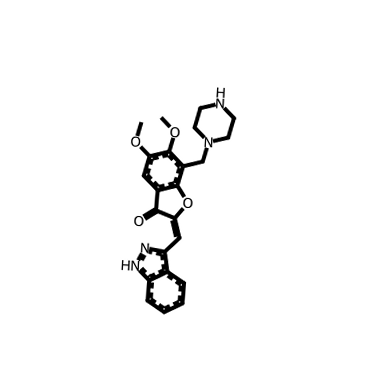 COc1cc2c(c(CN3CCNCC3)c1OC)OC(=Cc1n[nH]c3ccccc13)C2=O